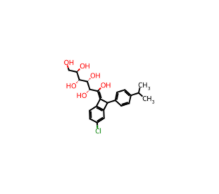 CC(C)c1ccc(C2C(=C(O)[C@H](O)[C@@H](O)[C@H](O)[C@H](O)CO)c3ccc(Cl)cc32)cc1